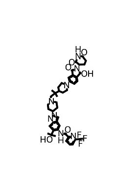 CC(C)(O)c1cc2nn(C3CCN(CC(C)(C)C4CCN(c5ccc6c(c5)C(=O)N(C5CCC(=O)NC5=O)C6O)CC4)CC3)cc2cc1NC(=O)c1cccc(C(F)(F)F)n1